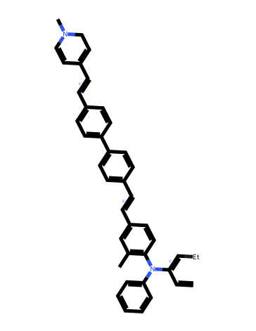 C=C/C(=C\CC)N(c1ccccc1)c1ccc(/C=C/c2ccc(-c3ccc(/C=C/C4=CCN(C)C=C4)cc3)cc2)cc1C